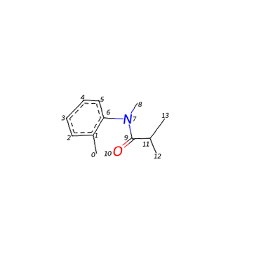 Cc1ccccc1N(C)C(=O)C(C)C